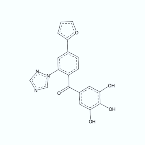 O=C(c1cc(O)c(O)c(O)c1)c1ccc(-c2ccco2)cc1-n1cncn1